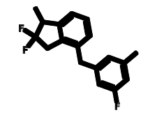 Cc1cc(F)cc(Cc2cccc3c2CC(F)(F)C3C)c1